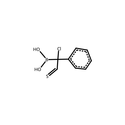 OB(O)C(Cl)(C=S)c1ccccc1